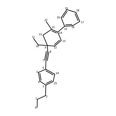 CCCc1ccc(C#CC2(CC)C=CC(c3ccccc3)=C(C)C2)cc1